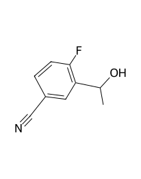 CC(O)c1cc(C#N)ccc1F